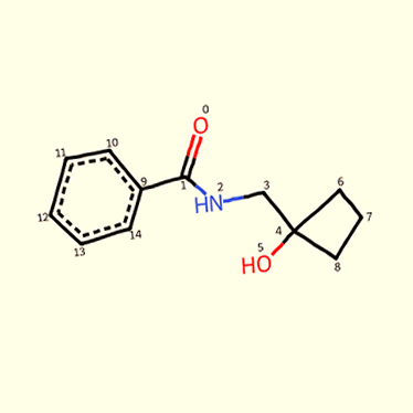 O=C(NCC1(O)CCC1)c1ccccc1